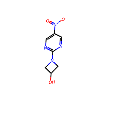 O=[N+]([O-])c1cnc(N2CC(O)C2)nc1